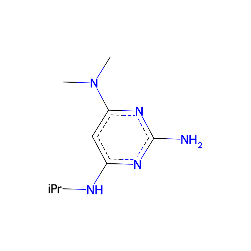 CC(C)Nc1cc(N(C)C)nc(N)n1